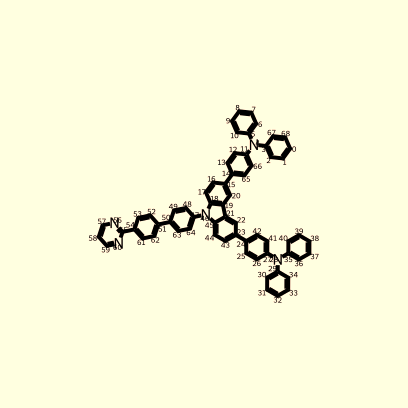 c1ccc(N(c2ccccc2)c2ccc(-c3ccc4c(c3)c3cc(-c5ccc(N(c6ccccc6)c6ccccc6)cc5)ccc3n4-c3ccc(-c4ccc(-c5ncccn5)cc4)cc3)cc2)cc1